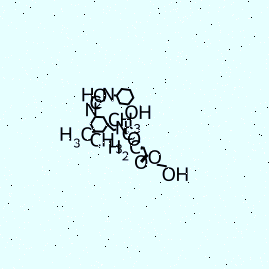 C=CC(=O)OCCO.CC1(C)CC(N=C=O)CC(C)(CN=C=O)C1.NC1CCCC(O)C1